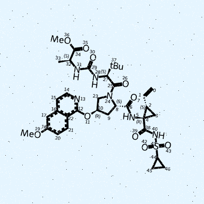 C=C[C@@H]1C[C@]1(NC(=O)[C@@H]1C[C@@H](Oc2nccc3cc(OC)ccc23)CN1C(=O)[C@@H](NC(=O)N[C@@H](C)C(=O)OC)C(C)(C)C)C(=O)NS(=O)(=O)C1CC1